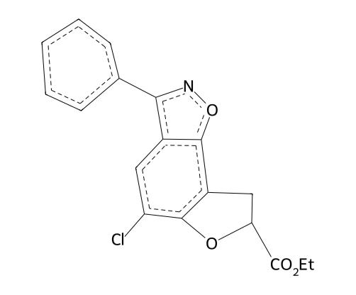 CCOC(=O)C1Cc2c(c(Cl)cc3c(-c4ccccc4)noc23)O1